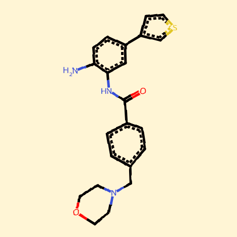 Nc1ccc(-c2ccsc2)cc1NC(=O)c1ccc(CN2CCOCC2)cc1